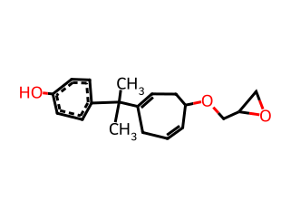 CC(C)(C1=CCC(OCC2CO2)C=CC1)c1ccc(O)cc1